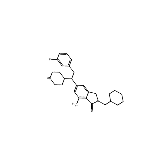 Cc1cc(C(Cc2cccc(F)c2)C2CCNCC2)cc2c1C(=O)N(CC1CCCCC1)C2